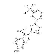 O=C(C1CC(c2cccc(C(F)(F)F)c2)CN1)C1(c2ccc(Cl)cc2)CC1